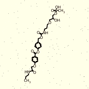 CCCNC(=O)COc1ccc(C(=O)Oc2ccc(COC(=O)NCCCOCC(O)COP(C)(=O)O)cc2)cc1